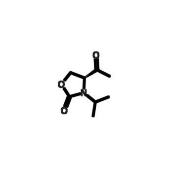 CC(=O)[C@@H]1COC(=O)N1C(C)C